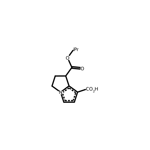 CC(C)OC(=O)C1CCn2ccc(C(=O)O)c21